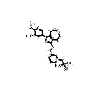 COc1ncc(-n2nc(OC[C@H]3CCCN(CC(C)(C)O)C3)c3c2CCOCC3)cc1C